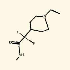 CCN1CCC(C(F)(F)C(=O)NC)CC1